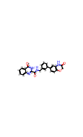 O=C1COc2ccc(-c3cccc(CNC(=O)c4nc5ccccc5c(=O)[nH]4)c3)cc2N1